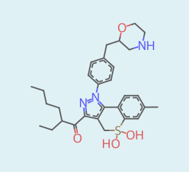 CCCCC(CC)C(=O)c1nn(-c2ccc(CC3CNCCO3)cc2)c2c1CS(O)(O)c1cc(C)ccc1-2